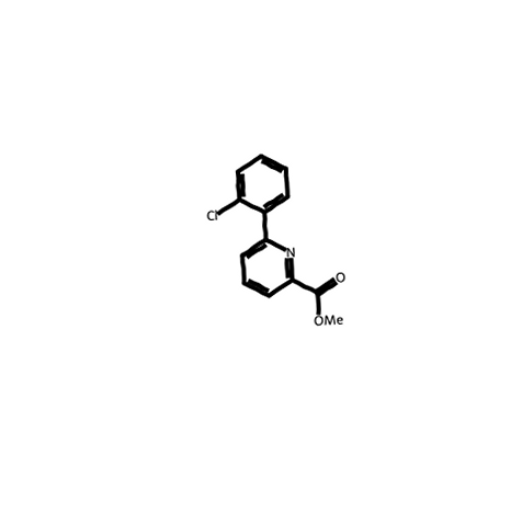 COC(=O)c1cccc(-c2ccccc2Cl)n1